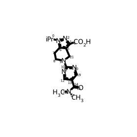 CC(C)n1nc(C(=O)O)c2c1CCN(c1ncc(C(=O)N(C)C)cn1)C2